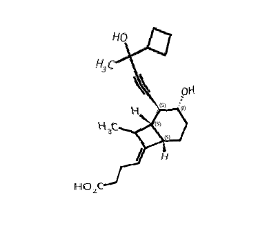 CC1C(=CCCC(=O)O)[C@H]2CC[C@@H](O)[C@H](C#CC(C)(O)C3CCC3)[C@@H]12